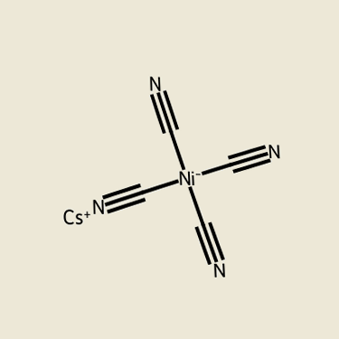 N#[C][Ni-]([C]#N)([C]#N)[C]#N.[Cs+]